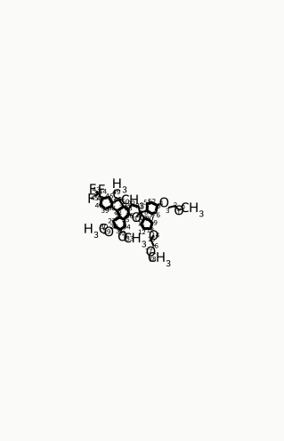 COCCOc1ccc(C2(c3ccc(OCCOC)cc3)C=Cc3c4c(c5cc(OC)c(OC)cc5c3O2)-c2ccc(C(F)(F)F)cc2C4(C)C)cc1